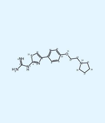 N=C(N)Nc1nc(-c2ccc(OCCN3CCCC3)cc2)cs1